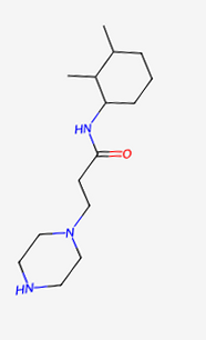 CC1CCCC(NC(=O)CCN2CCNCC2)C1C